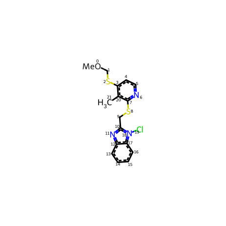 COCSc1ccnc(SCc2nc3ccccc3n2Cl)c1C